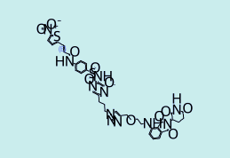 COc1nc(CCCn2cc(COCCNc3cccc4c3C(=O)N(C3CCC(=O)NC3=O)C4=O)nn2)cnc1NS(=O)(=O)c1ccc(NC(=O)/C=C/c2ccc([N+](=O)[O-])s2)cc1